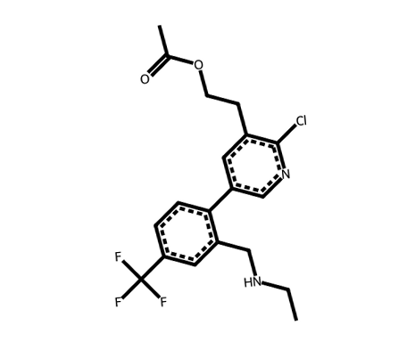 CCNCc1cc(C(F)(F)F)ccc1-c1cnc(Cl)c(CCOC(C)=O)c1